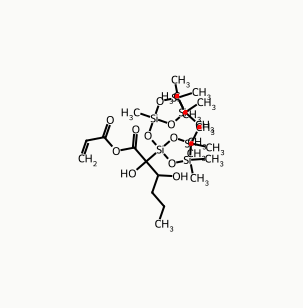 C=CC(=O)OC(=O)C(O)(C(O)CCC)[Si](O[Si](C)(C)C)(O[Si](C)(C)C)O[Si](C)(O[Si](C)(C)C)O[Si](C)(C)C